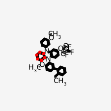 CCc1ccccc1-c1cccc(N(c2ccccc2)c2ccc(OS(=O)(=O)C(F)(F)F)cc2N(c2cccc(OC)c2)c2cccc(OC)c2)c1